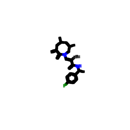 C=C1CC(C)CC(C)CN(/C=C(\CCCC)C(=C)NC(C)c2ccc(F)cc2)C1=C